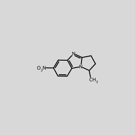 CC1CCc2nc3cc([N+](=O)[O-])ccc3n21